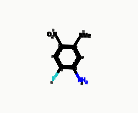 CNc1cc(N)c(F)cc1[N+](=O)[O-]